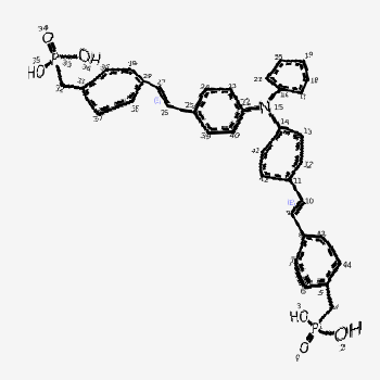 O=P(O)(O)Cc1ccc(/C=C/c2ccc(N(c3ccccc3)c3ccc(/C=C/c4ccc(CP(=O)(O)O)cc4)cc3)cc2)cc1